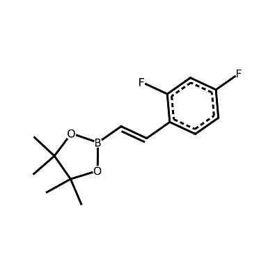 CC1(C)OB(/C=C/c2ccc(F)cc2F)OC1(C)C